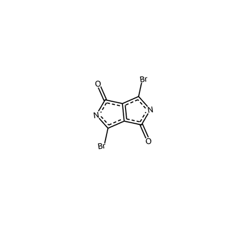 O=c1nc(Br)c2c(=O)nc(Br)c1=2